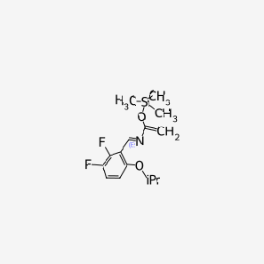 C=C(/N=C/c1c(OC(C)C)ccc(F)c1F)O[Si](C)(C)C